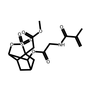 C=C(C)C(=O)NCC(=O)OC1C2CC3C1OS(=O)(=O)C3(CC(=O)OC)C2